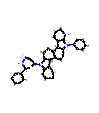 c1ccc(-c2cc(-n3c4ccccc4c4c5ccc6c(c5ccc43)c3ccccc3n6-c3ccccc3)cnn2)cc1